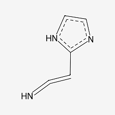 N=C=Cc1ncc[nH]1